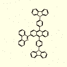 c1ccc2c(c1)nc(-c1ccc3c(-c4ccc(-n5c6ccccc6c6ccccc65)cc4)c4ccccc4c(-c4ccc(-n5c6ccccc6c6ccccc65)cc4)c3c1)c1ccccc12